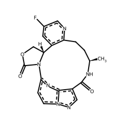 C[C@@H]1CCc2ncc(F)cc2[C@H]2COC(=O)N2c2ccn3ncc(c3n2)C(=O)N1